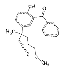 COCCCC(C)(C=C=O)c1ccc(O)c(C(=O)c2ccccc2)c1